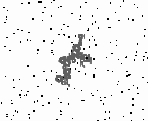 CC1CCCCN1c1nnc2ccc(O[C@@H]3CC[C@H](NC(=O)Nc4cc(C(C)(C)C)nn4-c4cc(OCCO)ccc4F)c4ccccc43)cn12